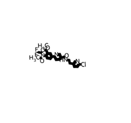 COC(=O)c1cc(-c2ccc(C(=O)NCCc3ccc(Cl)nc3)cn2)ccc1N(CC(F)F)C(C)=O